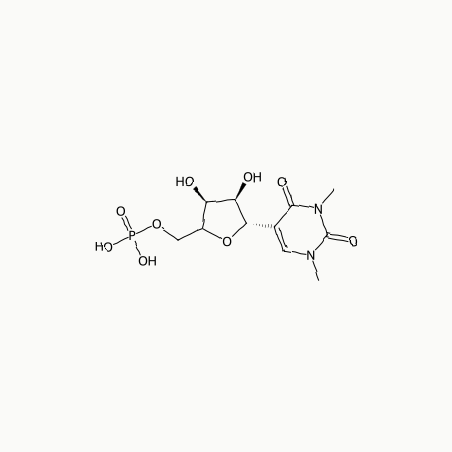 Cn1cc([C@@H]2OC(COP(=O)(O)O)[C@@H](O)[C@H]2O)c(=O)n(C)c1=O